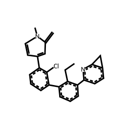 C=C1C=C(c2cccc(-c3cccc(-c4ccc5c(n4)C5)c3CC)c2Cl)C=CN1C